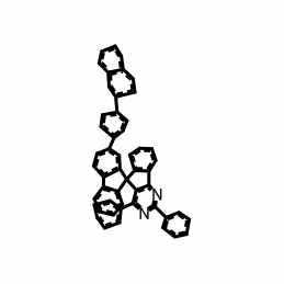 c1ccc(-c2nc(-c3ccccc3)c3c(n2)-c2ccccc2C32c3ccccc3-c3ccc(-c4ccc(-c5ccc6ccccc6c5)cc4)cc32)cc1